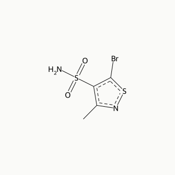 Cc1nsc(Br)c1S(N)(=O)=O